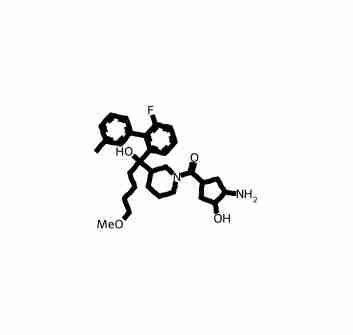 COCCCCC(O)(c1cccc(F)c1-c1cccc(C)c1)C1CCCN(C(=O)C2CC(N)C(O)C2)C1